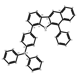 c1ccc(-c2c3ccccc3cc3c2oc2c(-c4ccc(N(c5ccccc5)c5ccccc5)cc4)cccc23)cc1